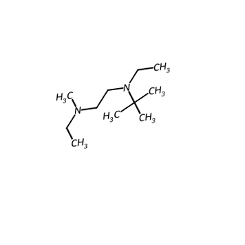 CCN(C)CCN(CC)C(C)(C)C